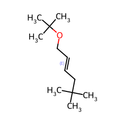 CC(C)(C)C/C=C/COC(C)(C)C